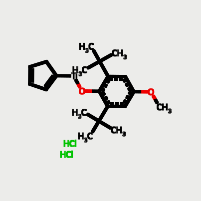 COc1cc(C(C)(C)C)c([O][Ti][C]2=CC=CC2)c(C(C)(C)C)c1.Cl.Cl